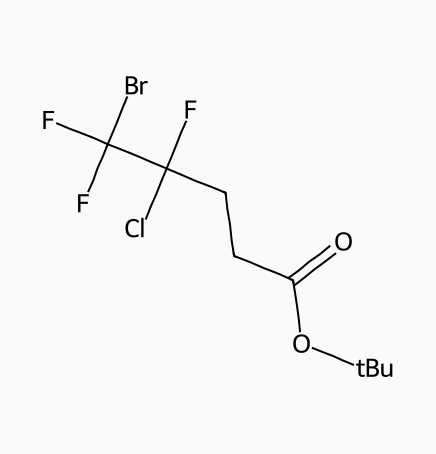 CC(C)(C)OC(=O)CCC(F)(Cl)C(F)(F)Br